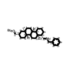 CC[C@]12CCC3[C@@H](CC[C@]4(C)C[C@@H](COC)CC[C@H]34)C1CCC[C@@H]2CNCc1ccccc1